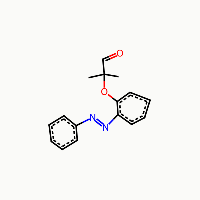 CC(C)(C=O)Oc1ccccc1N=Nc1ccccc1